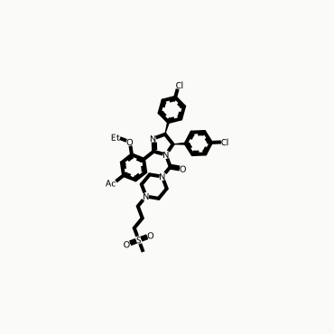 CCOc1cc(C(C)=O)ccc1C1=N[C@@H](c2ccc(Cl)cc2)[C@@H](c2ccc(Cl)cc2)N1C(=O)N1CCN(CCCS(C)(=O)=O)CC1